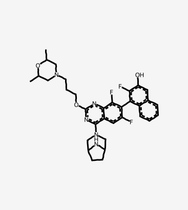 CC1CN(CCCOc2nc(N3CC4CCC(C3)N4)c3cc(F)c(-c4c(F)c(O)cc5ccccc45)c(F)c3n2)CC(C)O1